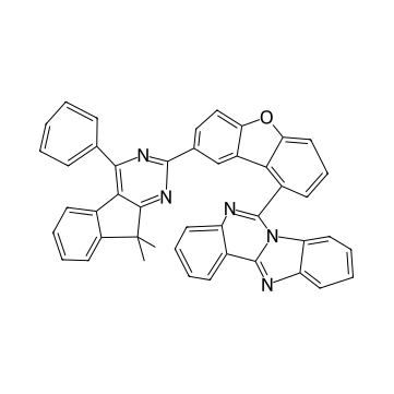 CC1(C)c2ccccc2-c2c(-c3ccccc3)nc(-c3ccc4oc5cccc(-c6nc7ccccc7c7nc8ccccc8n67)c5c4c3)nc21